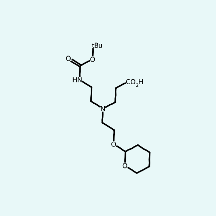 CC(C)(C)OC(=O)NCCN(CCOC1CCCCO1)CCC(=O)O